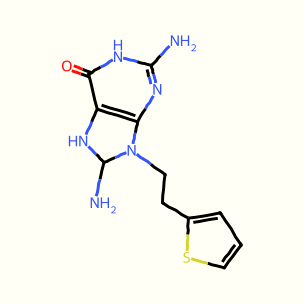 Nc1nc2c(c(=O)[nH]1)NC(N)N2CCc1cccs1